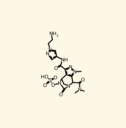 CN(C)C(=O)C1c2c(c(C(=O)Nc3cnn(CCN)c3)nn2C)C2CN1C(=O)N2OS(=O)(=O)O